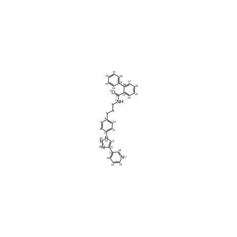 O=C(NCCCc1ccc(-n2cc(-c3cccnc3)nn2)cc1)c1ccccc1-c1ccccc1